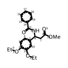 CCOc1ccc(C(CC(=O)OC)NC(=O)c2ccccc2)cc1OCC